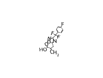 C=C(Cc1nc(C(F)(F)c2ccc(F)cc2)no1)C(=O)O